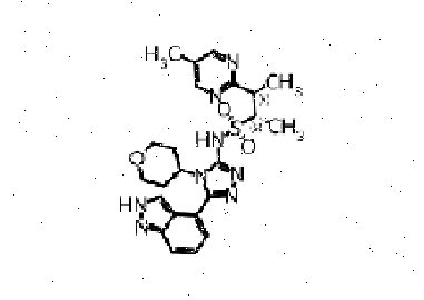 Cc1cnc([C@@H](C)[C@H](C)S(=O)(=O)Nc2nnc(-c3cccc4n[nH]cc34)n2C2CCOCC2)nc1